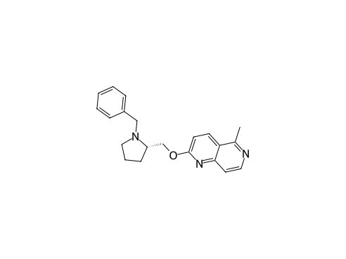 Cc1nccc2nc(OC[C@@H]3CCCN3Cc3ccccc3)ccc12